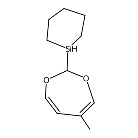 CC1=COC([SiH]2CCCCC2)OC=C1